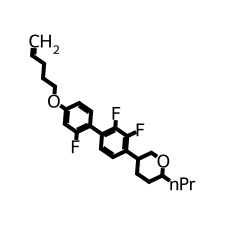 C=CCCCOc1ccc(-c2ccc(C3CCC(CCC)OC3)c(F)c2F)c(F)c1